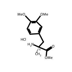 COC(=O)[C@@](C)(N)Cc1ccc(OC)c(OC)c1.Cl